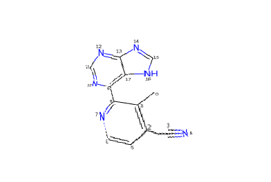 Cc1c(C#N)ccnc1-c1ncnc2nc[nH]c12